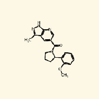 COc1ccccc1[C@H]1CCCN1C(=O)c1cnc2[nH]nc(C)c2c1